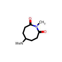 CNC1CCC(=O)N(C)C(=O)CC1